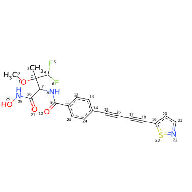 COC(C)(C(F)F)C(NC(=O)c1ccc(C#CC#Cc2ccns2)cc1)C(=O)NO